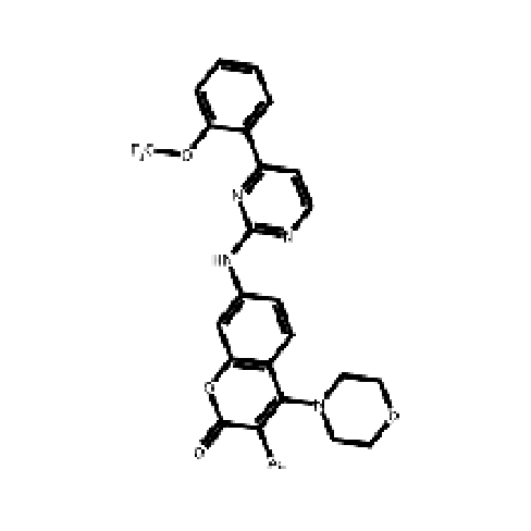 CC(=O)c1c(N2CCOCC2)c2ccc(Nc3nccc(-c4ccccc4OC(F)(F)F)n3)cc2oc1=O